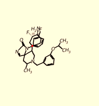 CC(C)Oc1cccc(CN2CC(C3CC[C@H](N)[C@@H](F)C3)C3(C=NC(=O)N3c3cccc(F)c3)CC2C)c1